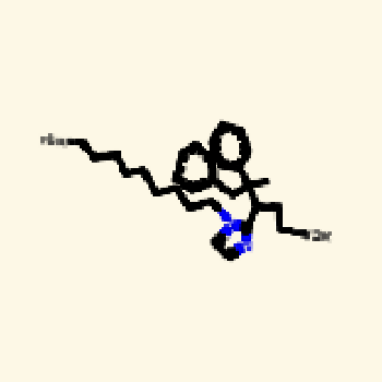 CCCCCCCCCCCCCCCCCCCn1ccnc1C(CCCCCCCCCCCC)C(C)(Cc1ccccc1)c1ccccc1